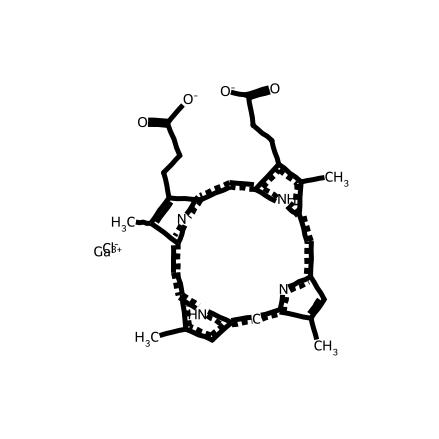 CC1=Cc2cc3[nH]c(cc4nc(cc5[nH]c(cc1n2)cc5C)C(C)=C4CCC(=O)[O-])c(CCC(=O)[O-])c3C.[Cl-].[Ga+3]